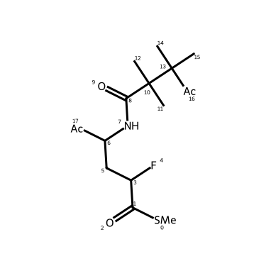 CSC(=O)C(F)CC(NC(=O)C(C)(C)C(C)(C)C(C)=O)C(C)=O